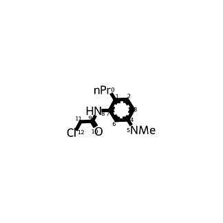 CCCc1ccc(NC)cc1NC(=O)CCl